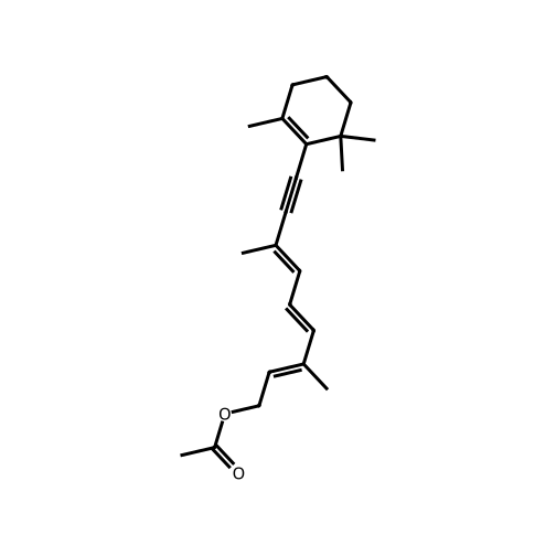 CC(=O)OCC=C(C)C=CC=C(C)C#CC1=C(C)CCCC1(C)C